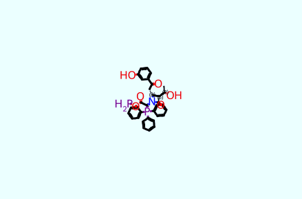 C[C@@H](O)[C@H]1C(=O)N(C(C(=O)OP)=P(c2ccccc2)(c2ccccc2)c2ccccc2)[C@@H]1CC(=O)c1cccc(O)c1